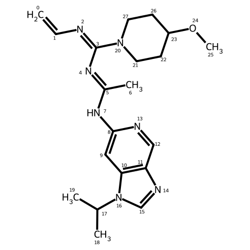 C=C/N=C(\N=C(/C)Nc1cc2c(cn1)ncn2C(C)C)N1CCC(OC)CC1